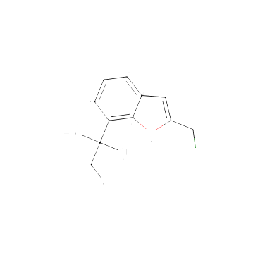 CCC(C)(C)c1cccc2cc(CCl)oc12